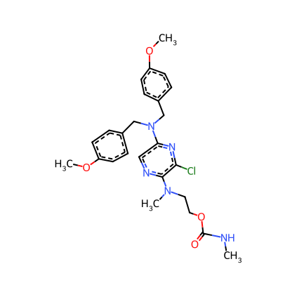 CNC(=O)OCCN(C)c1ncc(N(Cc2ccc(OC)cc2)Cc2ccc(OC)cc2)nc1Cl